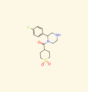 O=C(C1CCS(=O)(=O)CC1)N1CCNCC1c1ccc(F)cc1